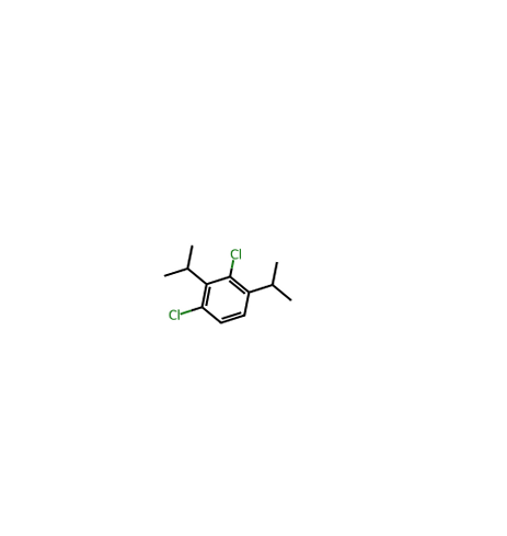 CC(C)c1ccc(Cl)c(C(C)C)c1Cl